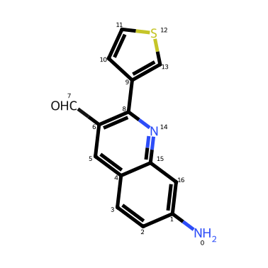 Nc1ccc2cc(C=O)c(-c3ccsc3)nc2c1